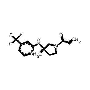 C=CC(=O)N1CCC(C)(Nc2cc(C(F)(F)F)ccn2)C1